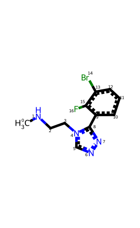 CNCCn1cnnc1-c1cccc(Br)c1F